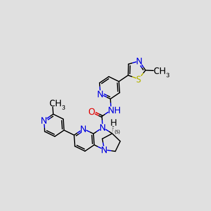 Cc1cc(-c2ccc3c(n2)N(C(=O)Nc2cc(-c4cnc(C)s4)ccn2)[C@H]2CCN3C2)ccn1